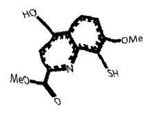 COC(=O)c1cc(O)c2ccc(OC)c(S)c2n1